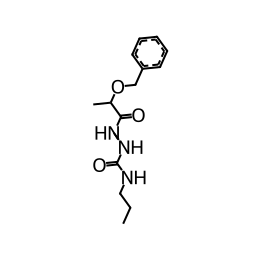 CCCNC(=O)NNC(=O)C(C)OCc1ccccc1